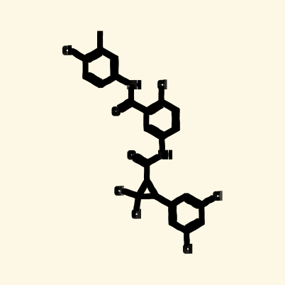 Cc1cc(NC(=O)c2cc(NC(=O)C3C(c4cc(Cl)cc(Cl)c4)C3(Cl)Cl)ccc2Cl)ccc1Cl